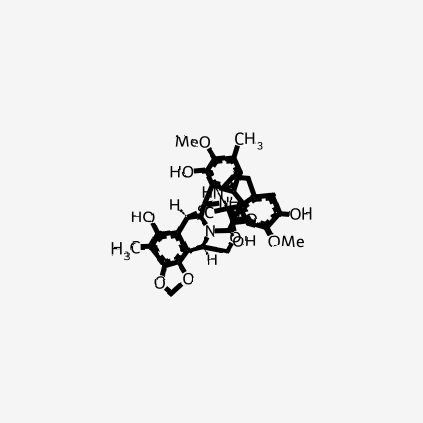 COc1cc2c(cc1O)CCN[C@]21CS[C@@H]2c3c(O)c(C)c4c(c3[C@H](COC1=O)N1C2C2NC(Cc3cc(C)c(OC)c(O)c32)[C@@H]1O)OCO4